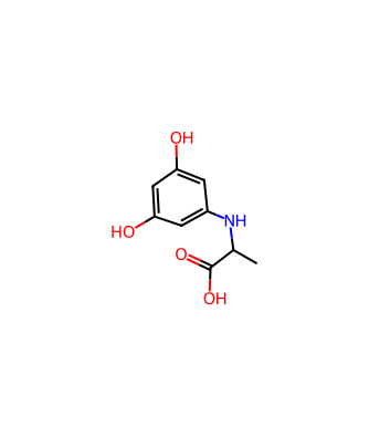 CC(Nc1cc(O)cc(O)c1)C(=O)O